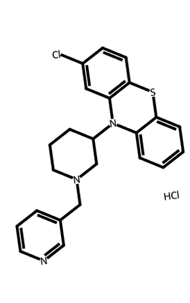 Cl.Clc1ccc2c(c1)N(C1CCCN(Cc3cccnc3)C1)c1ccccc1S2